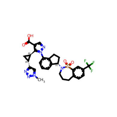 Cn1cc([C@@H]2C[C@H]2c2c(C(=O)O)cnn2-c2cccc3c2CC[C@@H]3N2CCCc3ccc(C(F)(F)F)cc3S2(=O)=O)nn1